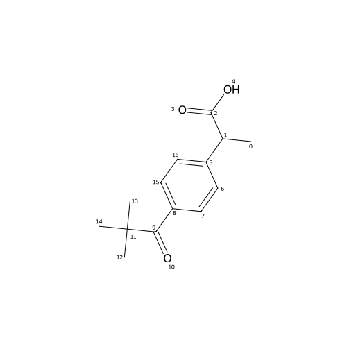 CC(C(=O)O)c1ccc(C(=O)C(C)(C)C)cc1